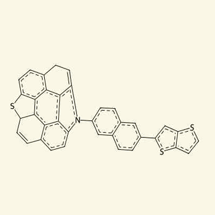 C1=CC2Sc3ccc4c5c3c2c2c1ccc1c2c5c(n1-c1ccc2cc(-c3cc5sccc5s3)ccc2c1)=CC4